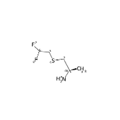 C[C@@H](N)CSCC(F)F